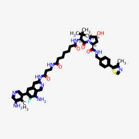 Cc1ncsc1-c1ccc(CNC(=O)[C@@H]2C[C@@H](O)CN2C(=O)[C@@H](NC(=O)CCCCCC(=O)NCCC(=O)Nc2cc3cc(-c4cncc(N)c4C)c(F)c(N)c3cn2)C(C)(C)C)cc1